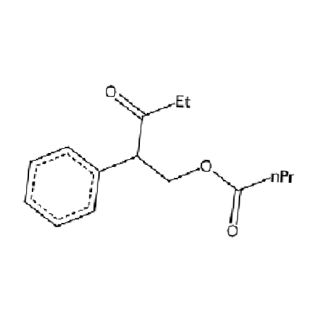 CCCC(=O)OCC(C(=O)CC)c1ccccc1